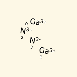 [Ga+3].[Ga+3].[N-3].[N-3]